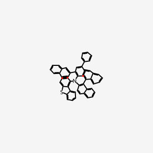 c1ccc(-c2ccc(N(c3ccc4ccccc4c3-c3cccc4ccccc34)c3cccc4sc5ccccc5c34)c(-c3ccc4ccccc4c3)c2)cc1